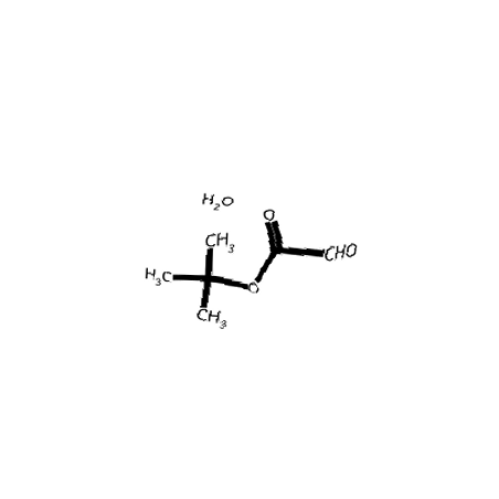 CC(C)(C)OC(=O)C=O.O